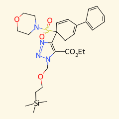 CCOC(=O)c1c(C2(S(=O)(=O)N3CCOCC3)C=CC(c3ccccc3)=CC2)nnn1COCC[Si](C)(C)C